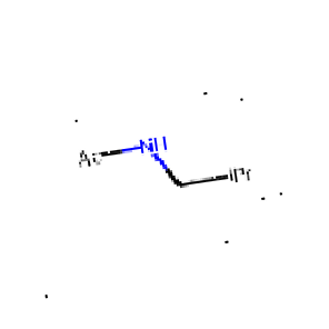 [CH2]C(C)CNC(C)=O